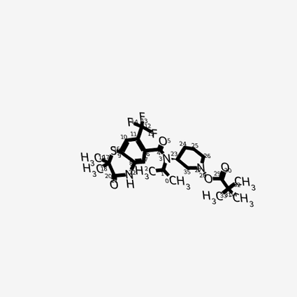 CC(C)N(C(=O)c1cc2c(cc1C(F)(F)F)SC(C)(C)C(=O)N2)[C@@H]1CCCN(OC(=O)C(C)(C)C)C1